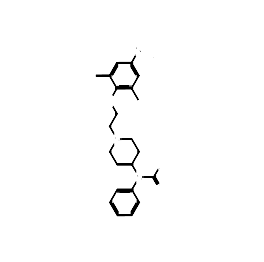 CCC(=O)N(c1ccccc1)C1CCN(CCOc2c(C)cc([N+](=O)[O-])cc2C)CC1